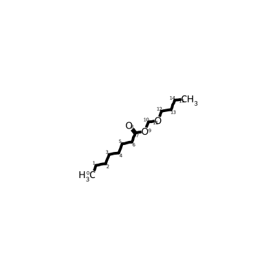 CCCCCCCC(=O)OCOCCCC